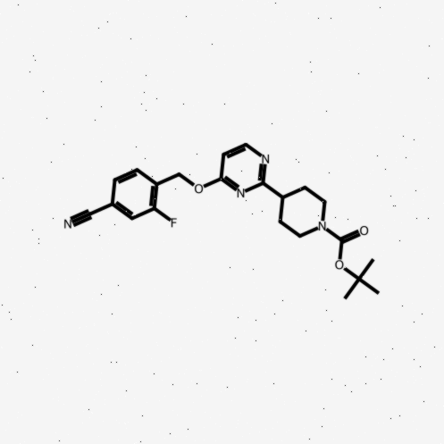 CC(C)(C)OC(=O)N1CCC(c2nccc(OCc3ccc(C#N)cc3F)n2)CC1